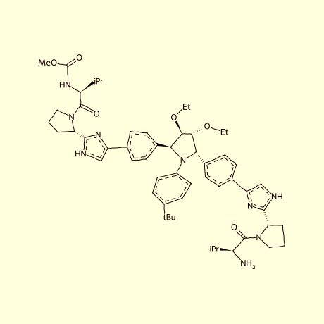 CCO[C@H]1[C@H](OCC)[C@H](c2ccc(-c3c[nH]c([C@@H]4CCCN4C(=O)[C@@H](NC(=O)OC)C(C)C)n3)cc2)N(c2ccc(C(C)(C)C)cc2)[C@H]1c1ccc(-c2c[nH]c([C@@H]3CCCN3C(=O)[C@@H](N)C(C)C)n2)cc1